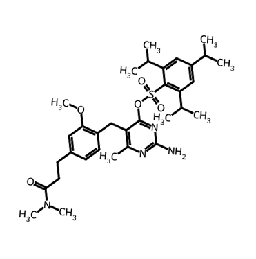 COc1cc(CCC(=O)N(C)C)ccc1Cc1c(C)nc(N)nc1OS(=O)(=O)c1c(C(C)C)cc(C(C)C)cc1C(C)C